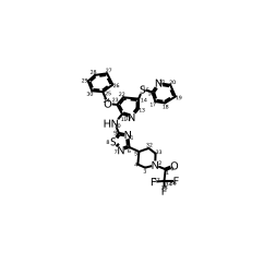 O=C(N1CCC(c2nsc(Nc3ncc(Sc4ccccn4)cc3Oc3ccccc3)n2)CC1)C(F)(F)F